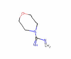 C=NC(=N)N1CCOCC1